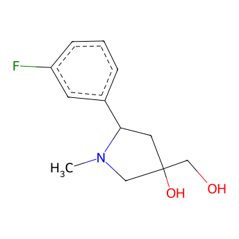 CN1CC(O)(CO)CC1c1cccc(F)c1